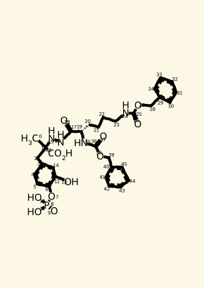 C[C@@](Cc1ccc(OP(=O)(O)O)c(O)c1)(NNC(=O)[C@H](CCCCNC(=O)OCc1ccccc1)NC(=O)OCc1ccccc1)C(=O)O